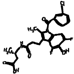 Cc1c(CCC(=O)N[C@@H](C)CC(=O)O)c2c(F)c(O)c(F)cc2n1C(=O)c1cccc(Cl)c1